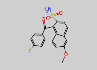 COc1ccc2c(C(=O)c3ccc(F)cc3)c(S(N)(=O)=O)ccc2c1